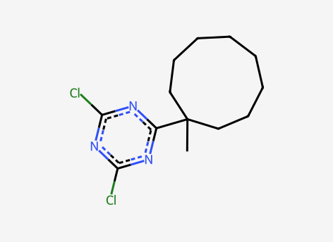 CC1(c2nc(Cl)nc(Cl)n2)CCCCCCCC1